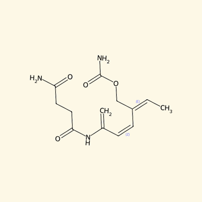 C=C(/C=C\C(=C/C)COC(N)=O)NC(=O)CCC(N)=O